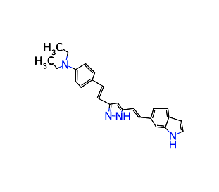 CCN(CC)c1ccc(C=Cc2cc(C=Cc3ccc4cc[nH]c4c3)[nH]n2)cc1